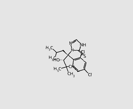 CC(C)C[C@@](c1ccc(Cl)cc1Cl)([C@@H](O)C(C)(C)C)n1nc[nH]c1=S